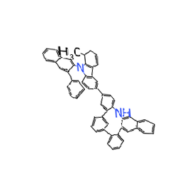 CC1CC=Cc2c1n(-c1cc3ccccc3cc1-c1ccccc1)c1ccc(-c3ccc4c(c3)-c3cccc(c3)-c3ccccc3-c3cc5ccccc5cc3N4)cc21